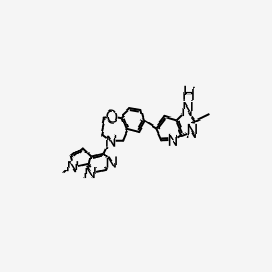 Cc1nc2ncc(-c3ccc4c(c3)CN(c3ncnc5c3ccn5C)CCO4)cc2[nH]1